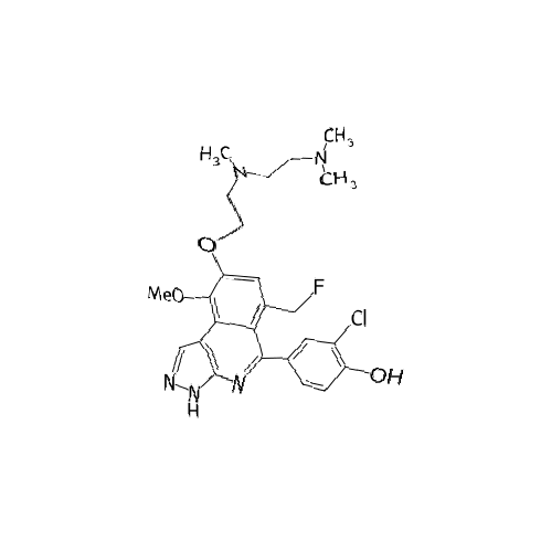 COc1c(OCCN(C)CCN(C)C)cc(CF)c2c(-c3ccc(O)c(Cl)c3)nc3[nH]ncc3c12